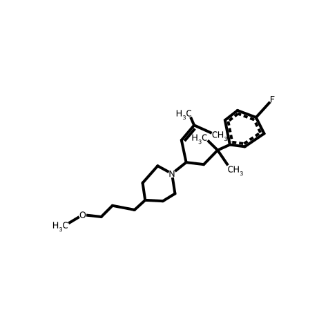 COCCCC1CCN(C(C=C(C)C)CC(C)(C)c2ccc(F)cc2)CC1